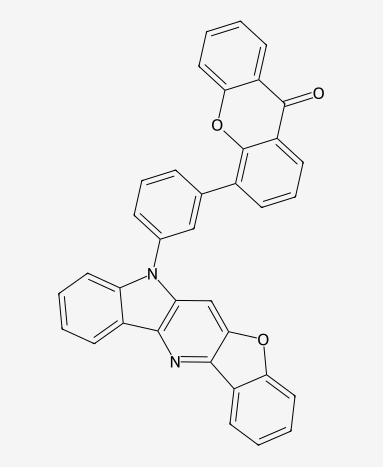 O=c1c2ccccc2oc2c(-c3cccc(-n4c5ccccc5c5nc6c(cc54)oc4ccccc46)c3)cccc12